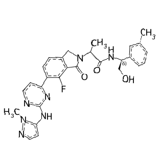 Cc1cccc([C@@H](CO)NC(=O)C(C)N2Cc3ccc(-c4ccnc(Nc5ccnn5C)n4)c(F)c3C2=O)c1